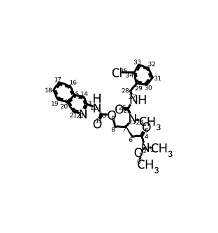 CON(C)C(=O)C[C@@H](COC(=O)Nc1cc2ccccc2cn1)N(C)C(=O)NCc1ccccc1Cl